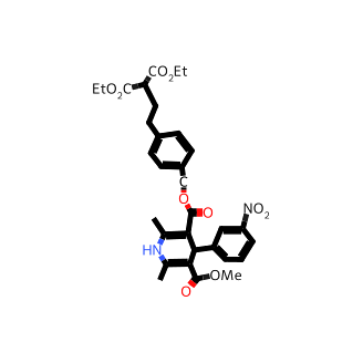 CCOC(=O)C(CCc1ccc(COC(=O)C2=C(C)NC(C)=C(C(=O)OC)C2c2cccc([N+](=O)[O-])c2)cc1)C(=O)OCC